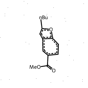 CCCCc1cc2cc(C(=O)OC)ccc2o1